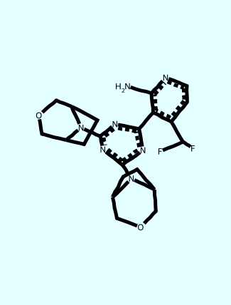 Nc1nccc(C(F)F)c1-c1nc(N2C3CCC2COC3)nc(N2C3CCC2COC3)n1